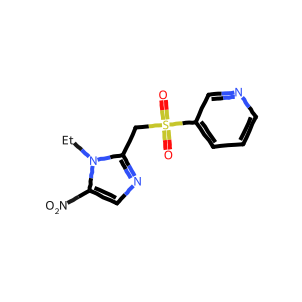 CCn1c([N+](=O)[O-])cnc1CS(=O)(=O)c1cccnc1